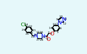 O=C(COc1ccc(-n2ccnc2)cc1)N1CCN(Cc2ccc(Cl)cc2)CC1